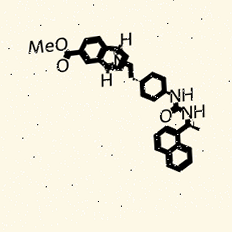 COC(=O)c1ccc2c(c1)[C@H]1C=C[C@@H]2N1CC[C@H]1CC[C@H](NC(=O)N[C@@H](C)c2cccc3ccccc23)CC1